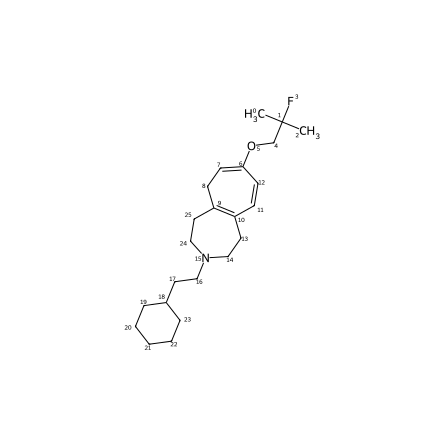 CC(C)(F)COC1=CCC2=C(C=C1)CCN(CCC1CCCCC1)CC2